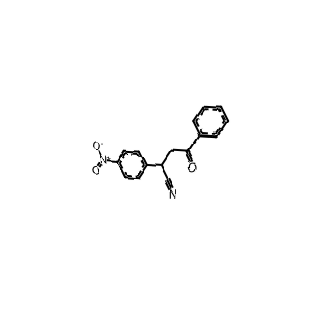 N#CC(CC(=O)c1ccccc1)c1ccc([N+](=O)[O-])cc1